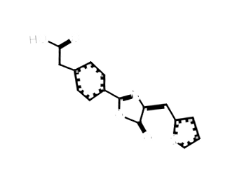 O=C(O)Cc1ccc(C2=NC(=Cc3cccs3)C(=O)O2)cc1